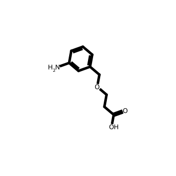 Nc1cccc(COCCC(=O)O)c1